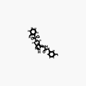 Cc1cccc(CC(=O)Nc2[nH]nc3c2CN(S(=O)(=O)c2ccccc2C)C3)c1